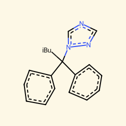 CCC(C)C(c1ccccc1)(c1ccccc1)n1cncn1